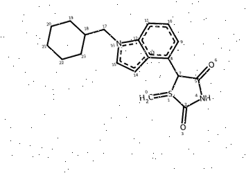 C=S1C(=O)NC(=O)C1c1cccc2c1ccn2CC1CCCCC1